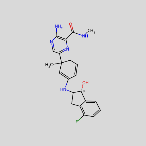 CNC(=O)c1nc(C2(C)C=C(NC3Cc4c(F)cccc4[C@H]3O)C=CC2)cnc1N